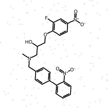 CN(Cc1ccc(-c2ccccc2[N+](=O)[O-])cc1)CC(O)COc1ccc([N+](=O)[O-])cc1F